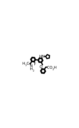 C[C@@H](N)c1cccc(-c2cc(COc3ccccc3CC(=O)O)cc(NC3CCCC3)c2)c1F